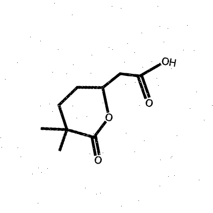 CC1(C)CCC(CC(=O)O)OC1=O